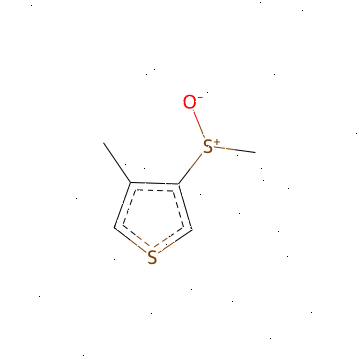 Cc1cscc1[S+](C)[O-]